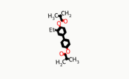 C=C(C)C(=O)Oc1ccc(-c2ccc(OC(=O)C(=C)C)c(CC)c2)cc1